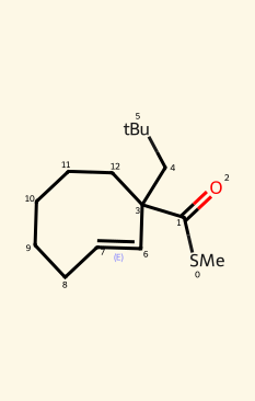 CSC(=O)C1(CC(C)(C)C)/C=C/CCCCC1